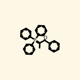 CC(C(=O)c1ccccc1)=P(c1ccccc1)(c1ccccc1)c1ccccc1